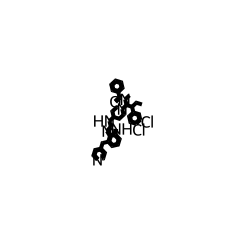 CCC(c1ccc(Cl)c(Cl)c1)C(N1CCC(Nc2nc3c(Cc4ccncc4)cccc3[nH]2)CC1)N(C)C(=O)c1ccccc1